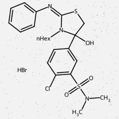 Br.CCCCCCN1/C(=N\c2ccccc2)SCC1(O)c1ccc(Cl)c(S(=O)(=O)N(C)C)c1